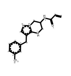 C=CC(=O)NC1CNc2c(Cc3cccc(C(F)(F)F)c3)cnn2C1